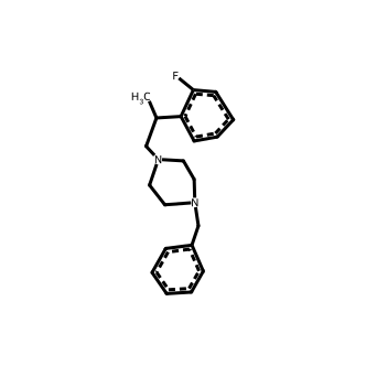 CC(CN1CCN(Cc2ccccc2)CC1)c1ccccc1F